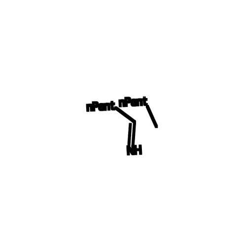 CCCCCC.CCCCCC=N